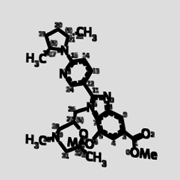 COC(=O)c1cc(OC)c2c(c1)nc(-c1ccc(N3[C@@H](C)CC[C@@H]3C)nc1)n2C[C@@H]1CN(C)C[C@H](C)O1